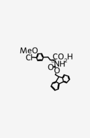 COc1cc(CC[C@H](NC(=O)OCC2c3ccccc3-c3ccccc32)C(=O)O)ccc1Cl